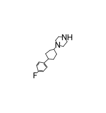 Fc1ccc(C2CCC(N3CCNCC3)CC2)cc1